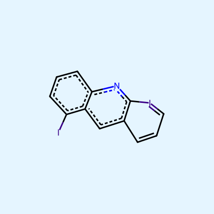 Ic1cccc2nc3c(cc12)C=CC=I3